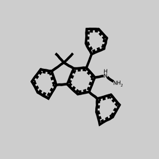 CC1(C)c2ccccc2-c2cc(-c3ccccc3)c(NN)c(-c3ccccc3)c21